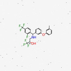 Cc1cccc(Oc2cccc(C(NC[C@@H](O)C(F)(F)F)c3ccc(C(F)(F)F)cc3F)c2)c1